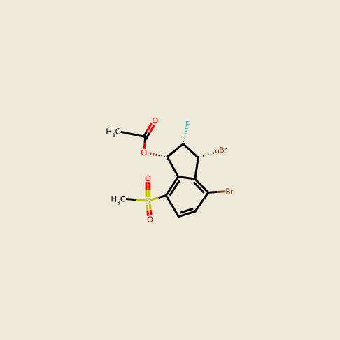 CC(=O)O[C@H]1c2c(S(C)(=O)=O)ccc(Br)c2[C@@H](Br)[C@H]1F